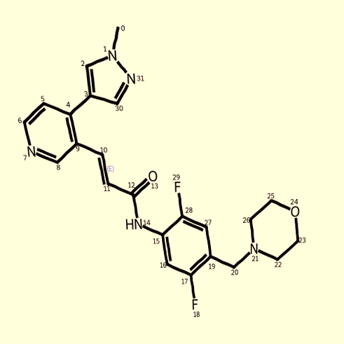 Cn1cc(-c2ccncc2/C=C/C(=O)Nc2cc(F)c(CN3CCOCC3)cc2F)cn1